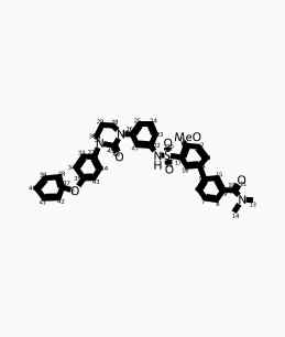 COc1ccc(-c2cccc(C(=O)N(C)C)c2)cc1S(=O)(=O)Nc1cccc(N2CCCN(c3ccc(Oc4ccccc4)cc3)C2=O)c1